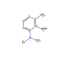 CCN(C)c1cccc(C)c1NC